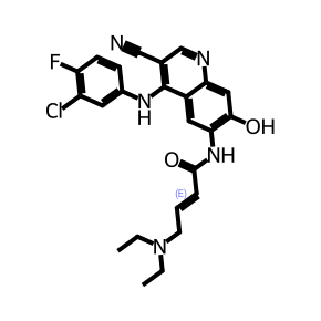 CCN(CC)C/C=C/C(=O)Nc1cc2c(Nc3ccc(F)c(Cl)c3)c(C#N)cnc2cc1O